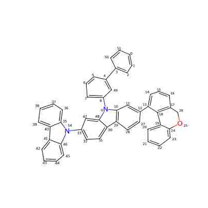 c1ccc(-c2cccc(-n3c4cc(-c5cccc6c5-c5ccccc5OC6)ccc4c4ccc(-n5c6ccccc6c6ccccc65)cc43)c2)cc1